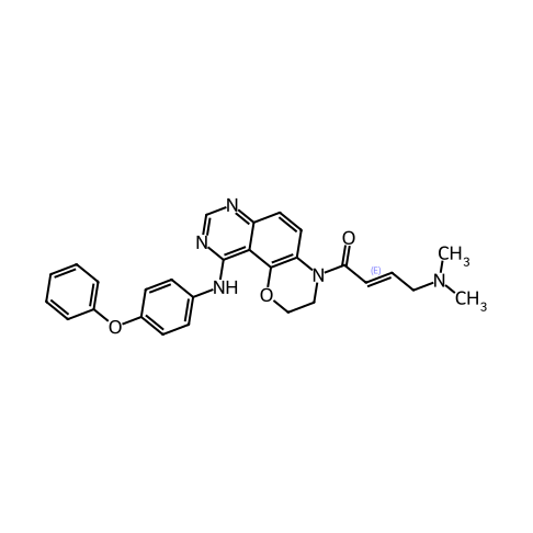 CN(C)C/C=C/C(=O)N1CCOc2c1ccc1ncnc(Nc3ccc(Oc4ccccc4)cc3)c21